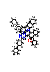 c1ccc(-c2ccc(-c3nc(-c4ccc(-c5ccccc5)cc4)nc(-c4c(-n5c6ccccc6c6cc7ccccc7cc65)c5ccccc5c5c4oc4ccccc45)n3)cc2)cc1